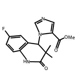 COC(=O)c1cncn1C1c2cc(F)ccc2NC(=O)C1(C)C